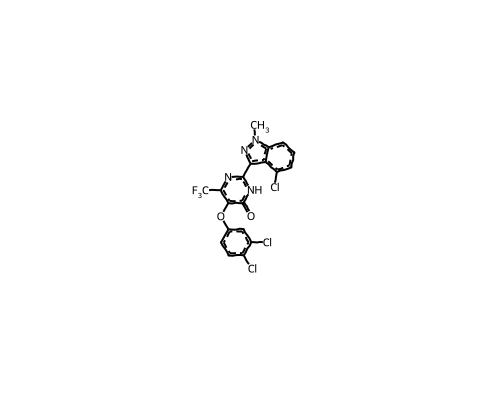 Cn1nc(-c2nc(C(F)(F)F)c(Oc3ccc(Cl)c(Cl)c3)c(=O)[nH]2)c2c(Cl)cccc21